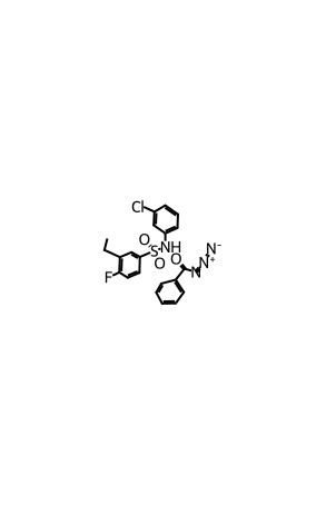 CCc1cc(S(=O)(=O)Nc2cccc(Cl)c2)ccc1F.[N-]=[N+]=NC(=O)c1ccccc1